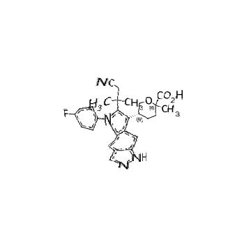 CC(C)(CC#N)c1c([C@H]2CC[C@](C)(C(=O)O)OC2)c2cc3[nH]ncc3cc2n1-c1ccc(F)cc1